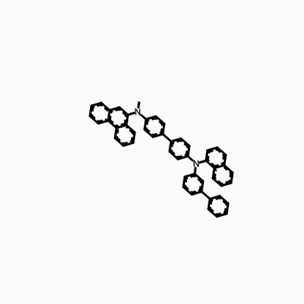 CN(c1ccc(-c2ccc(N(c3cccc(-c4ccccc4)c3)c3cccc4ccccc34)cc2)cc1)c1cc2ccccc2c2ccccc12